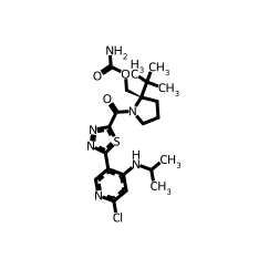 CC(C)Nc1cc(Cl)ncc1-c1nnc(C(=O)N2CCC[C@@]2(COC(N)=O)C(C)(C)C)s1